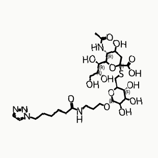 CC(=O)N[C@@H]1C(O)C[C@](SCC2O[C@@H](OCCCNC(=O)CCCCCn3ccnn3)C(O)C(O)[C@H]2O)(C(=O)O)OC1[C@H](O)[C@H](O)CO